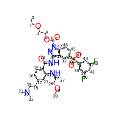 CCOCCOC(=O)n1nc(NC(=O)c2ccc(CCN(C)C)cc2N[C@H](C)COC)c2cc(S(=O)(=O)c3cc(F)cc(F)c3)ccc21